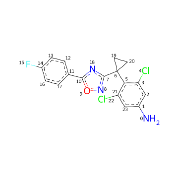 Nc1cc(Cl)c(C2(c3noc(-c4ccc(F)cc4)n3)CC2)c(Cl)c1